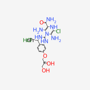 CCCC(NC(=N)N1C(N)=C(Cl)NC(C(N)=O)=C1N)c1ccc(OC[C@H](O)CO)cc1.Cl